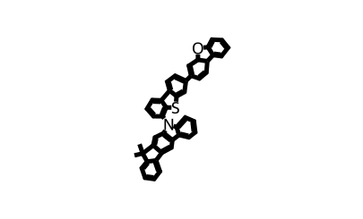 CC1(C)c2ccccc2-c2cc3c4ccccc4n(-c4cccc5c4sc4cc(C6=CC7Oc8ccccc8C7C=C6)ccc45)c3cc21